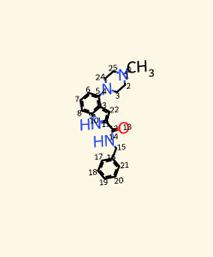 CN1CCN(c2cccc3[nH]c(C(=O)NCc4ccccc4)cc23)CC1